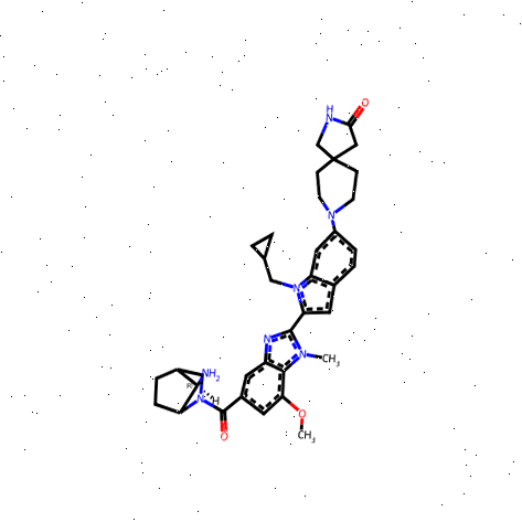 COc1cc(C(=O)N2CC3CCC2[C@@H]3N)cc2nc(-c3cc4ccc(N5CCC6(CC5)CNC(=O)C6)cc4n3CC3CC3)n(C)c12